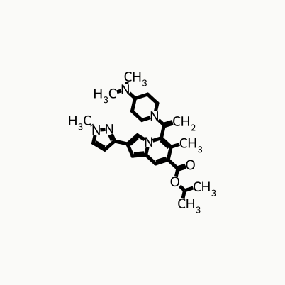 C=C(c1c(C)c(C(=O)OC(C)C)cc2cc(-c3ccn(C)n3)cn12)N1CCC(N(C)C)CC1